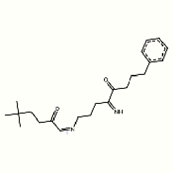 CC(C)(C)CCC(=O)/C=N\CCCC(=N)C(=O)CCCc1ccccc1